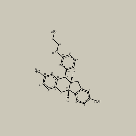 Oc1ccc2c(c1)C[C@H]1[C@H](c3cccc(OCCBr)c3)c3cc(O)ccc3C[C@@H]21